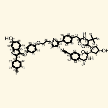 C[C@H](NC(=O)[C@@H]1C[C@@H](O)CN1C(=O)C(NC(=O)Cc1ccc(-c2ccn(CCOc3ccc(Oc4c(-c5ccc(F)cc5)sc5cc(O)ccc45)cc3)n2)cc1)C(C)(C)C)c1ccc(C#N)cc1